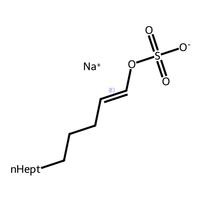 CCCCCCCCCC/C=C/OS(=O)(=O)[O-].[Na+]